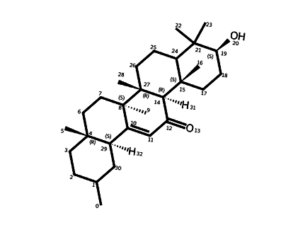 CC1CC[C@]2(C)CC[C@]3(C)C(=CC(=O)[C@@H]4[C@@]5(C)CC[C@H](O)C(C)(C)C5CC[C@]43C)[C@H]2C1